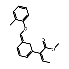 CC=C(C(=O)OC)C1=CC=CC(=COc2ccccc2C)C1